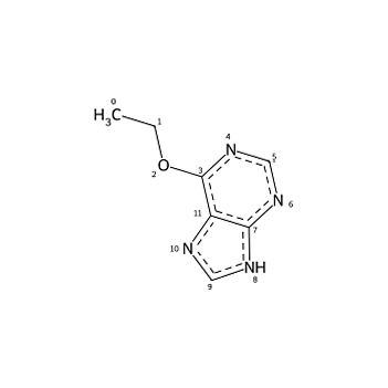 CCOc1n[c]nc2[nH]cnc12